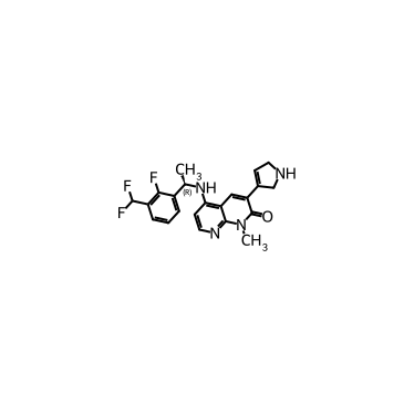 C[C@@H](Nc1ccnc2c1cc(C1=CCNC1)c(=O)n2C)c1cccc(C(F)F)c1F